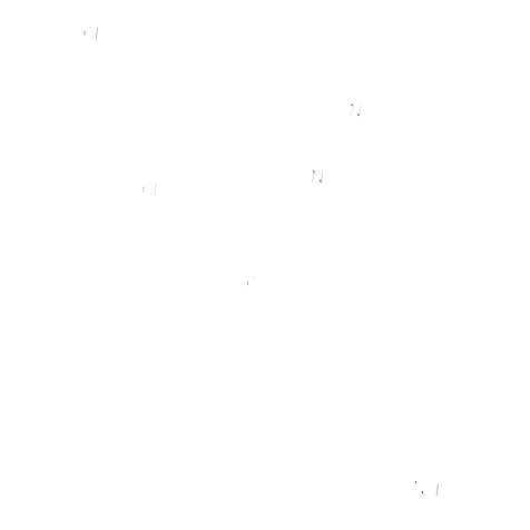 Nc1ccc(CCOC(CCc2ccc(Cl)cc2Cl)Cn2ccnc2)cc1